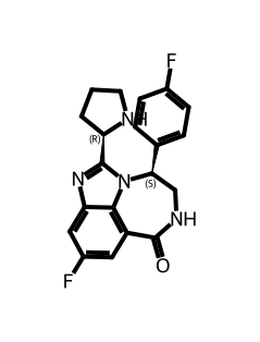 O=C1NC[C@H](c2ccc(F)cc2)n2c([C@H]3CCCN3)nc3cc(F)cc1c32